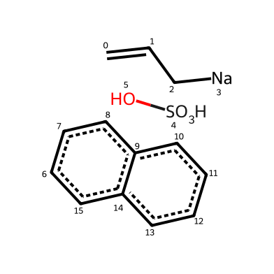 C=C[CH2][Na].O=S(=O)(O)O.c1ccc2ccccc2c1